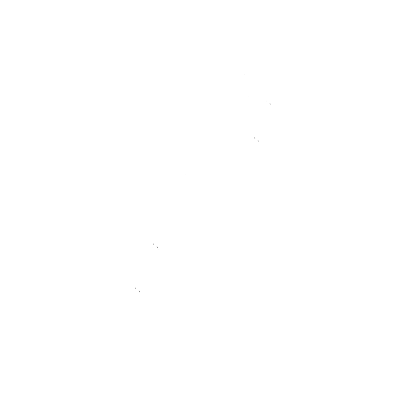 c1ccc(-c2cc(-c3ccc(-c4ccc5c6ccc7c8ccccc8c(-c8ccccc8)nc7c6n(-c6ccccc6)c5c4)cc3)nc(-c3ccccc3)n2)cc1